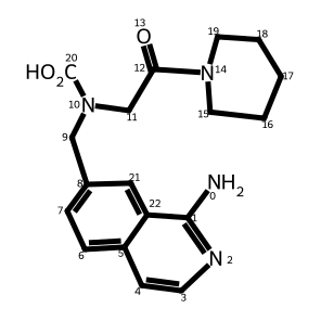 Nc1nccc2ccc(CN(CC(=O)N3CCCCC3)C(=O)O)cc12